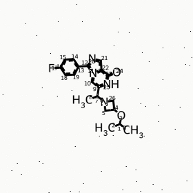 CC(C)OC1CN(C(C)c2cn3c(-c4ccc(F)cc4)ncc3c(=O)[nH]2)C1